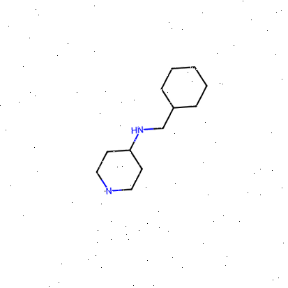 C1CCC(CNC2CC[N]CC2)CC1